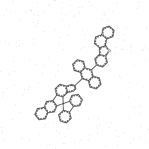 c1ccc2c(c1)-c1ccccc1C21c2cc3ccccc3cc2-c2ccc3cc(-c4c5ccccc5c(-c5ccc6oc7c8ccccc8ccc7c6c5)c5ccccc45)ccc3c21